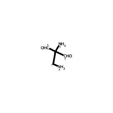 NCC(N)(C=O)C=O